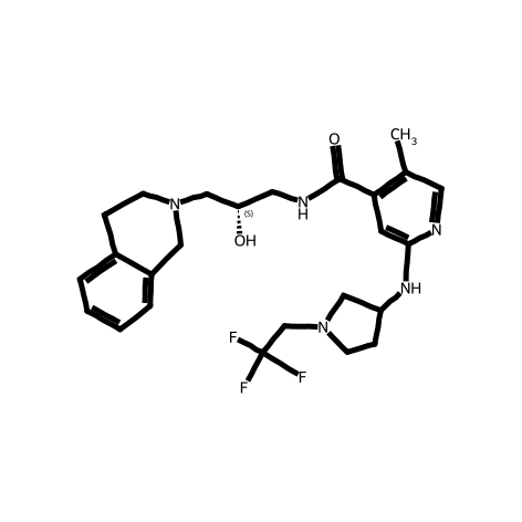 Cc1cnc(NC2CCN(CC(F)(F)F)C2)cc1C(=O)NC[C@H](O)CN1CCc2ccccc2C1